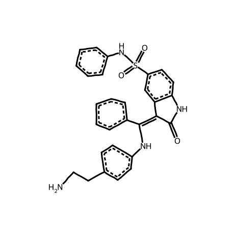 NCCc1ccc(N/C(=C2\C(=O)Nc3ccc(S(=O)(=O)Nc4ccccc4)cc32)c2ccccc2)cc1